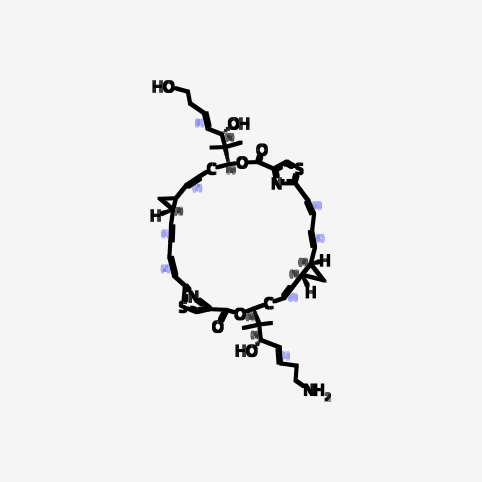 CC(C)([C@@H]1C/C=C\[C@H]2C[C@H]2/C=C/C=C\c2nc(cs2)C(=O)O[C@H](C(C)(C)[C@@H](O)/C=C/CCO)C/C=C\C2C[C@H]2/C=C/C=C\c2nc(cs2)C(=O)O1)[C@@H](O)/C=C/CCN